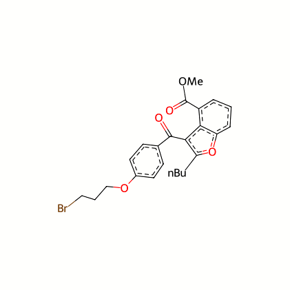 CCCCc1oc2cccc(C(=O)OC)c2c1C(=O)c1ccc(OCCCBr)cc1